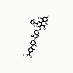 COC(=O)C1=C(CN2CCN3C(=O)N(c4ccc(-c5ccc(C(=O)O)cc5F)c(F)c4)C[C@@H]3C2)NC(c2nccs2)=NC1c1ccc(F)cc1Cl